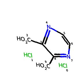 Cl.Cl.O=C(O)c1nccnc1C(=O)O